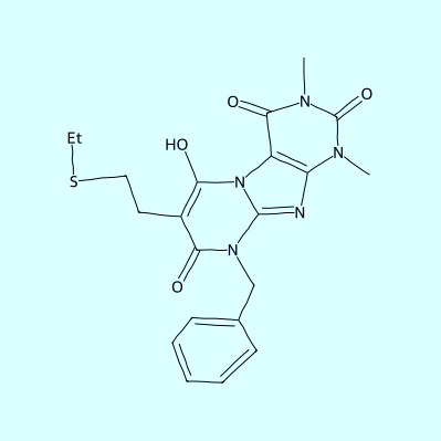 CCSCCc1c(O)n2c3c(=O)n(C)c(=O)n(C)c3nc2n(Cc2ccccc2)c1=O